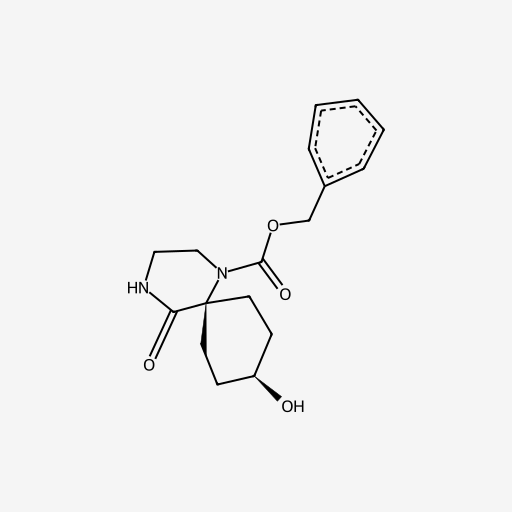 O=C(OCc1ccccc1)N1CCNC(=O)[C@]12CC[C@H](O)CC2